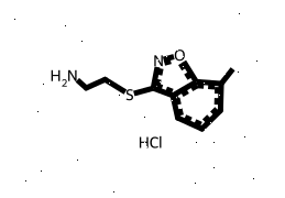 Cc1cccc2c(SCCN)noc12.Cl